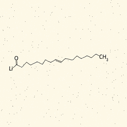 [Li][C](=O)CCCCCCCC=CCCCCCCCC